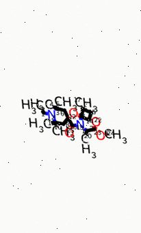 CCN1C(C)(C)CC2(CC1(C)C)OC1(CCC1C)N(C(C)C(=O)OC)C2=O